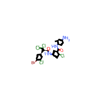 Cc1cc(N)ccc1NC(=O)c1cc(NC(=O)[C@H]2[C@H](c3ccc(Br)c(Cl)c3)C2(Cl)Cl)ccc1Cl